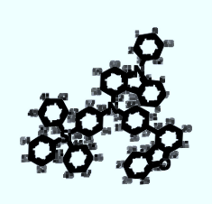 c1ccc(-n2c3ccccc3c3c(N(c4ccc(-c5cccc6oc7ccccc7c56)cc4)c4ccc([Si](c5ccccc5)(c5ccccc5)c5ccccc5)cc4)cccc32)cc1